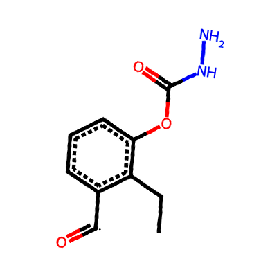 CCc1c([C]=O)cccc1OC(=O)NN